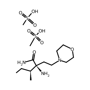 CC[C@H](C)[C@@](N)(CCN1CCOCC1)C(N)=O.CS(=O)(=O)O.CS(=O)(=O)O